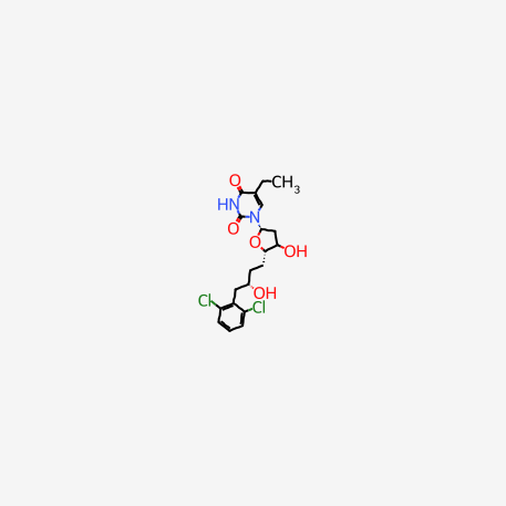 CCc1cn([C@@H]2CC(O)[C@H](CC[C@H](O)Cc3c(Cl)cccc3Cl)O2)c(=O)[nH]c1=O